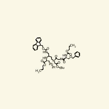 C=CCOC(=O)N[C@@H](COCc1ccccc1)C(=O)NCC(=O)N(CCC(CNC(=O)OCC1c2ccccc2-c2ccccc21)N[C@@H](CC(C)C)C(=O)OCC=C)[C@@H](CC(C)C)C(=O)OC(C)(C)C